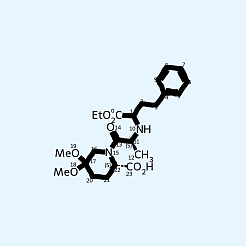 CCOC(=O)C(CCc1ccccc1)N[C@@H](C)C(=O)N1CC(OC)(OC)CC[C@H]1C(=O)O